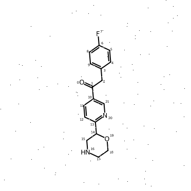 O=C(Cc1ccc(F)cc1)c1ccc(C2CNCCO2)nc1